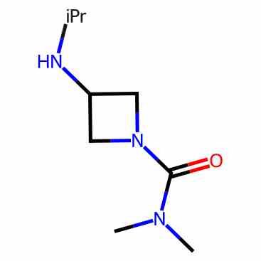 CC(C)NC1CN(C(=O)N(C)C)C1